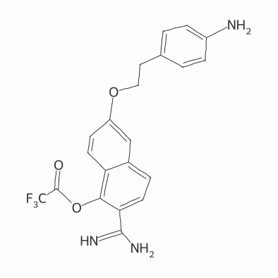 N=C(N)c1ccc2cc(OCCc3ccc(N)cc3)ccc2c1OC(=O)C(F)(F)F